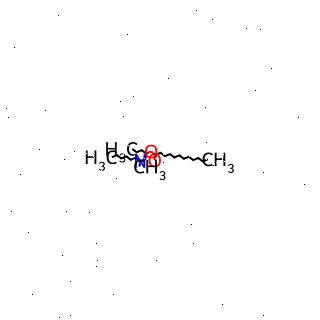 CCCCCCCCCCCC(=O)OC(CCC)CN(C)CCCCCC